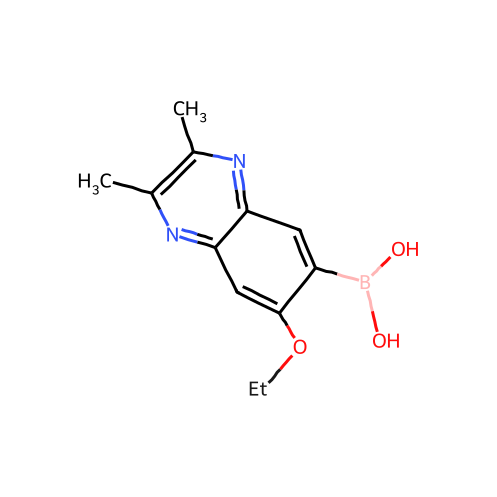 CCOc1cc2nc(C)c(C)nc2cc1B(O)O